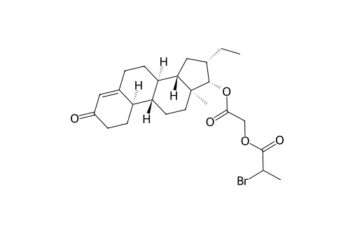 CC[C@H]1C[C@H]2[C@@H]3CCC4=CC(=O)CC[C@@H]4[C@H]3CC[C@]2(C)[C@H]1OC(=O)COC(=O)C(C)Br